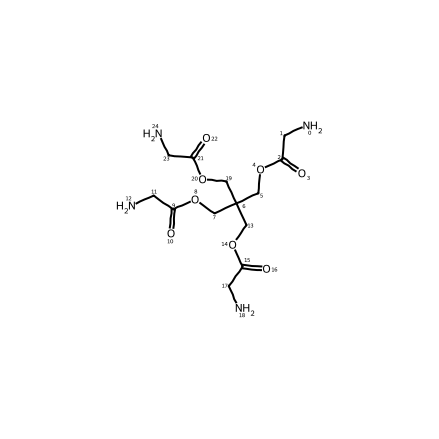 NCC(=O)OCC(COC(=O)CN)(COC(=O)CN)COC(=O)CN